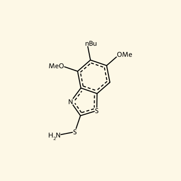 CCCCc1c(OC)cc2sc(SN)nc2c1OC